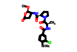 CCO[C@@H]1OC(=O)CC1NC(=O)[C@@H]1CCCN1C(=O)[C@H](C)NC(=O)c1ccc(NC(C)=O)c(Cl)c1